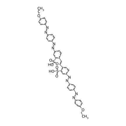 CCOc1ccc(N=Nc2ccc(N=Nc3ccc(C=Cc4ccc(N=Nc5ccc(N=Nc6ccc(OCC)cc6)cc5)cc4S(=O)(=O)O)c(S(=O)(=O)O)c3)cc2)cc1